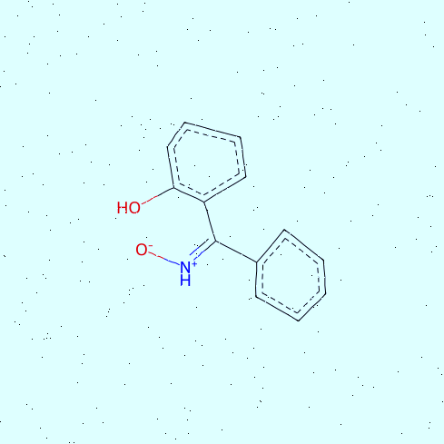 [O-][NH+]=C(c1ccccc1)c1ccccc1O